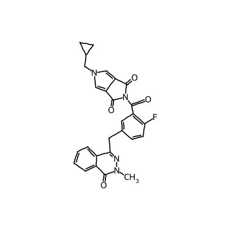 Cn1nc(Cc2ccc(F)c(C(=O)N3C(=O)c4cn(CC5CC5)cc4C3=O)c2)c2ccccc2c1=O